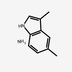 Cc1ccc2[nH]cc(C)c2c1.N